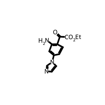 CCOC(=O)C(=O)c1ccc(-n2ccnc2)cc1N